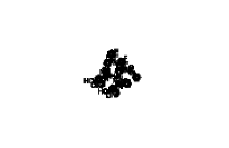 NC[C@]1(c2cccc(F)c2F)[C@@H]2CCN(c3cnc4c(-c5ccc(C(=O)O)c6ncccc56)n[nH]c4n3)C[C@@H]21.O=C(NC[C@]1(c2cccc(F)c2F)[C@@H]2CCN(c3cnc4c(-c5ccc(C(=O)O)c6ncccc56)nn(C5CCCCO5)c4n3)C[C@@H]21)OCc1ccccc1